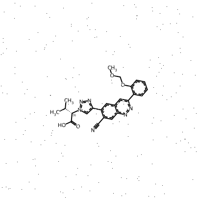 COCOc1ccccc1-c1cc2cc(-c3cn([C@H](C(=O)O)C(C)C)nn3)c(C#N)cc2nn1